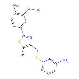 CCCOc1cc(-c2nc(CSc3nccc(N)n3)c(CCC)s2)ccc1OC